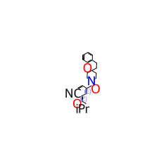 C=C/C(=C\C(C#N)=C(/C)OC(C)C)C(=O)N1CCC2(CCc3ccc#cc3O2)CC1